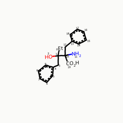 CCC(O)(Cc1ccccc1)C(N)(Cc1ccccc1)C(=O)O